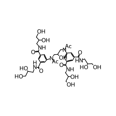 CC(=O)N(CC(O)CN(C(C)=O)c1cc(C(=O)NCC(O)CO)cc(C(=O)NCC(O)CO)c1)c1cc(C(=O)NCC(O)CO)cc(C(=O)NCC(O)CO)c1